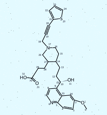 COc1ccc2nccc([C@@H](O)CCC3CCN(CC#Cc4cccs4)CC3CCC(=O)O)c2c1